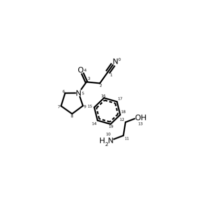 N#CCC(=O)N1CCCC1.NCCO.c1ccccc1